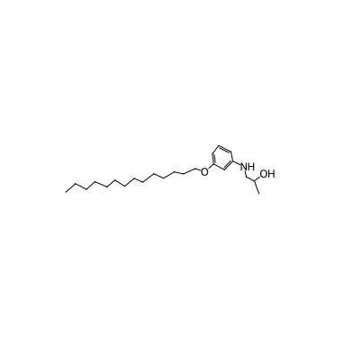 CCCCCCCCCCCCCCOc1cccc(NCC(C)O)c1